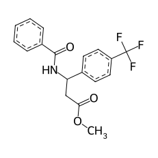 COC(=O)CC(NC(=O)c1ccccc1)c1ccc(C(F)(F)F)cc1